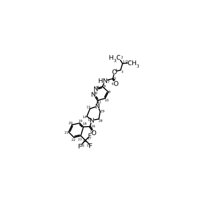 CC(C)COC(=O)Nc1ccc(N2CCN(C(=O)c3ccccc3C(F)(F)F)CC2)nn1